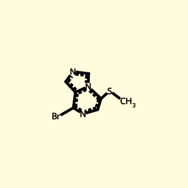 CSc1cnc(Br)c2cncn12